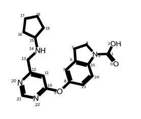 O=C(O)N1CCc2cc(Oc3cc(CNC4CCCC4)ncn3)ccc21